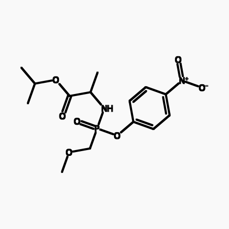 COCP(=O)(NC(C)C(=O)OC(C)C)Oc1ccc([N+](=O)[O-])cc1